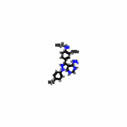 COc1cc(-c2nn(-c3ccc([N+](=O)[O-])cc3)c3ncnc(N)c23)ccc1NC(=O)O